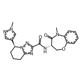 CN1C(=O)[C@@H](NC(=O)c2nc3n(n2)[C@H](c2cnn(C)c2)CCC3)COc2ccccc21